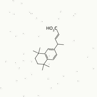 CC(C=CC(=O)O)c1ccc2c(c1)C(C)(C)CCC2(C)C